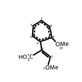 COC=C(C(=O)O)c1ccccc1OC